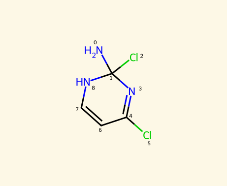 NC1(Cl)N=C(Cl)C=CN1